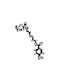 CCOP(=O)(OCC)OCCSSCCOC(=O)c1ccc(O)cc1